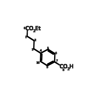 CCOC(=O)CCCc1ccc(C(=O)O)cc1